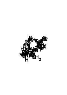 C=C[C@@H]1C[C@]1(NC(=O)[C@@H]1C[C@@H]2CN1C(=O)[C@H](C(C)(C)C)NC(=O)O[C@@H]1C[C@H]1CCCCCc1c(nc3c(F)cccc3c1OCCN1CCC1)O2)C(=O)NS(=O)(=O)C1(C)CC1